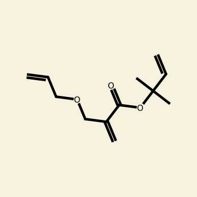 C=CCOCC(=C)C(=O)OC(C)(C)C=C